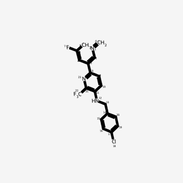 C=N/C=C(\C=C(/C)F)c1ccc(NCc2ccc(Cl)cc2)c(C(F)(F)F)n1